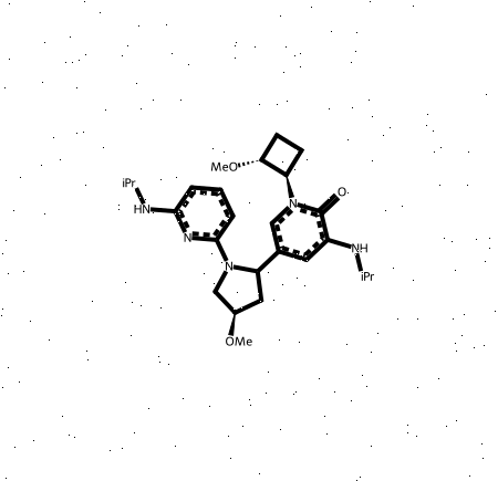 CO[C@@H]1CC(c2cc(NC(C)C)c(=O)n([C@@H]3CC[C@H]3OC)c2)N(c2cccc(NC(C)C)n2)C1